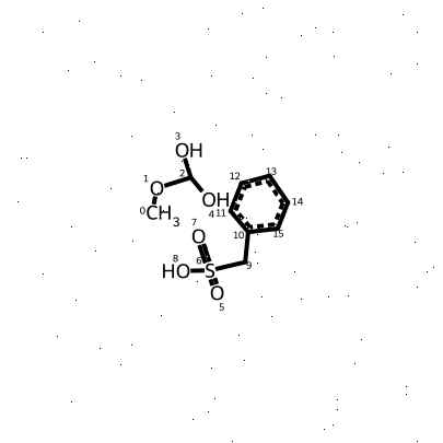 COC(O)O.O=S(=O)(O)Cc1ccccc1